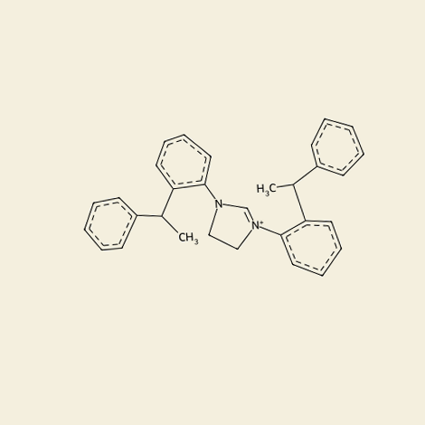 CC(c1ccccc1)c1ccccc1N1C=[N+](c2ccccc2C(C)c2ccccc2)CC1